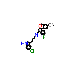 N#Cc1ccc2c(c1)COC2(CCCNCCCCc1c[nH]c2ccc(Cl)cc12)c1ccc(F)cc1